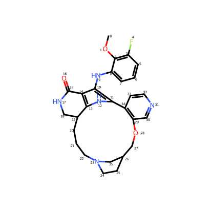 COc1c(F)cccc1Nc1c2[nH]c3c1C(=O)NCC3CCCN1CCC(COc3cnccc3-2)C1